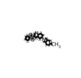 CN1CCC2CN(c3ccc4ncc(S(=O)(=O)c5ccccc5)cc4c3)CC2C1